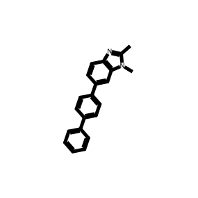 Cc1nc2ccc(-c3ccc(-c4ccccc4)cc3)cc2n1C